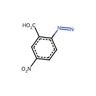 [N]=Nc1ccc([N+](=O)[O-])cc1C(=O)O